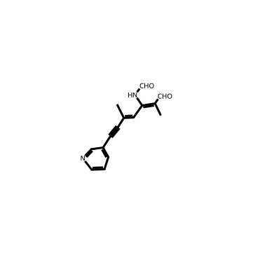 C/C(C=O)=C(\C=C(/C)C#Cc1cccnc1)NC=O